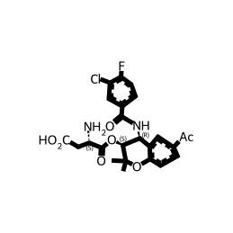 CC(=O)c1ccc2c(c1)[C@@H](NC(=O)c1ccc(F)c(Cl)c1)[C@H](OC(=O)[C@@H](N)CC(=O)O)C(C)(C)O2